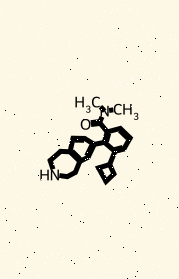 CN(C)C(=O)c1cccc(C2CCC2)c1-c1ccc2c(c1)CCNCC2